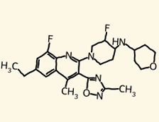 CCc1cc(F)c2nc(N3CCC(NC4CCOCC4)C(F)C3)c(-c3nc(C)no3)c(C)c2c1